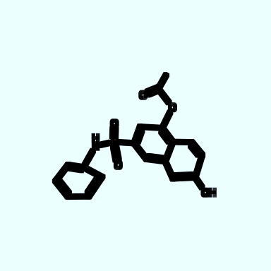 CC(=O)Oc1cc(S(=O)(=O)Nc2ccccc2)cc2cc(O)ccc12